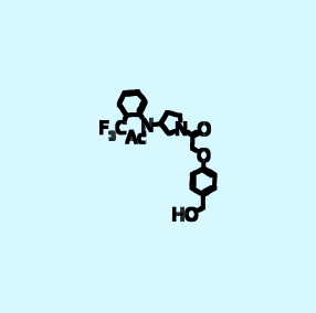 CC(=O)N(C1=CC=CCC1C(F)(F)F)C1CCN(C(=O)COc2ccc(CO)cc2)C1